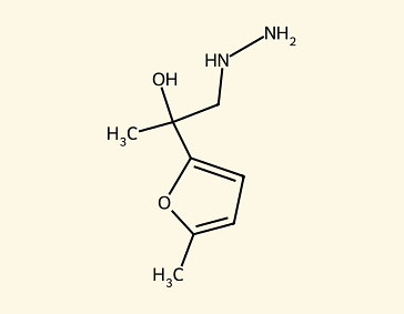 Cc1ccc(C(C)(O)CNN)o1